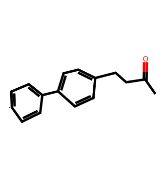 CC(=O)CCc1ccc(-c2cc[c]cc2)cc1